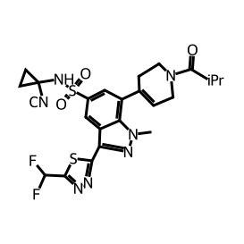 CC(C)C(=O)N1CC=C(c2cc(S(=O)(=O)NC3(C#N)CC3)cc3c(-c4nnc(C(F)F)s4)nn(C)c23)CC1